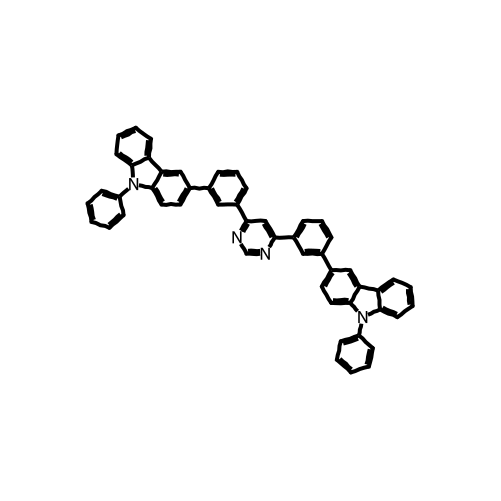 c1ccc(-n2c3ccccc3c3cc(-c4cccc(-c5cc(-c6cccc(-c7ccc8c(c7)c7ccccc7n8-c7ccccc7)c6)ncn5)c4)ccc32)cc1